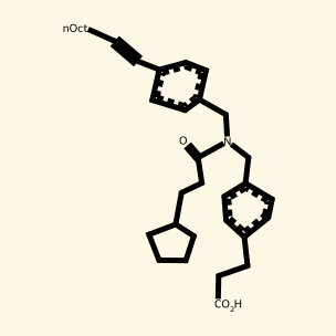 CCCCCCCCC#Cc1ccc(CN(Cc2ccc(CCC(=O)O)cc2)C(=O)CCC2CCCC2)cc1